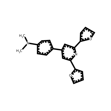 CN(C)c1ccc(-c2cc(-c3ccco3)nc(-c3ccco3)c2)cc1